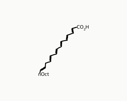 CCCCCCCCC=CCC=CC=CC=CC=CC=CC(=O)O